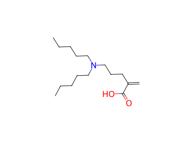 C=C(CCCN(CCCCC)CCCCC)C(=O)O